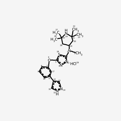 CN(c1nnc(Oc2cccc(-c3cn[nH]c3)c2)s1)C1CC(C)(C)NC(C)(C)C1.Cl